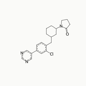 O=C1CCCN1C1CCCC(Cc2ccc(-c3cncnc3)cc2Cl)C1